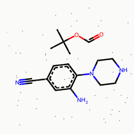 CC(C)(C)OC=O.N#Cc1ccc(N2CCNCC2)c(N)c1